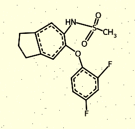 CS(=O)(=O)Nc1cc2c(cc1Oc1ccc(F)cc1F)CCC2